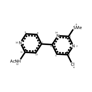 CSc1nc(Cl)cc(-c2ccnc(NC(C)=O)c2)n1